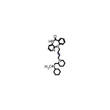 CN(CC1CCCCN1C/C=C/CN1c2ccccc2C(=O)Nc2cccnc21)C1CCCCC1